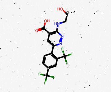 C[C@@H](O)CNc1nnc(-c2ccc(C(F)(F)F)cc2C(F)(F)F)cc1C(=O)O